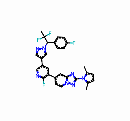 Cc1ccc(C)n1-c1nc2cc(-c3cc(-c4cnn(C(c5ccc(F)cc5)C(C)(F)F)c4)cnc3F)ccn2n1